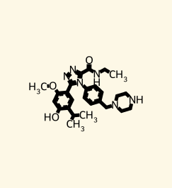 CCNC(=O)c1nnc(-c2cc(C(C)C)c(O)cc2OC)n1-c1ccc(CN2CCNCC2)cc1